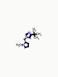 CN1CCC[C@@H]1Cn1cnc(C(C)(C)C)c1